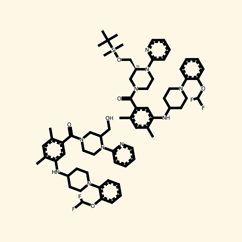 Cc1cc(C)c(C(=O)N2CCN(c3ccccn3)C(CO)C2)cc1NC1CCN(c2ccccc2OC(F)F)CC1.Cc1cc(C)c(C(=O)N2CCN(c3ccccn3)[C@H](CO[Si](C)(C)C(C)(C)C)C2)cc1NC1CCN(c2ccccc2OC(F)F)CC1